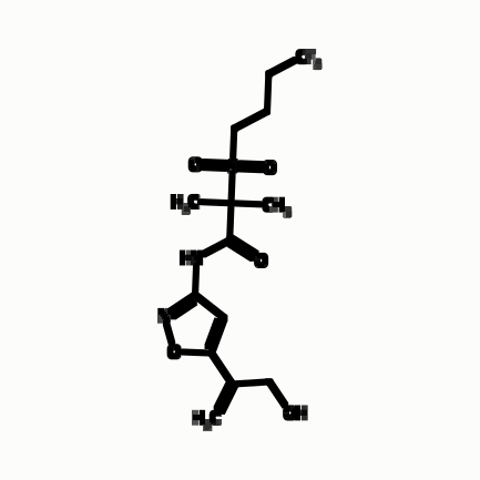 C=C(CO)c1cc(NC(=O)C(C)(C)S(=O)(=O)CCCC(F)(F)F)no1